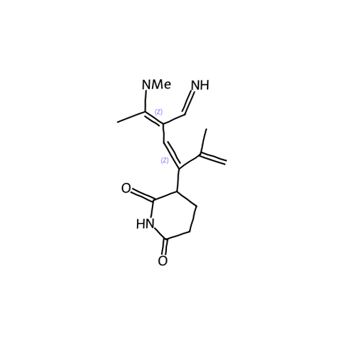 C=C(C)/C(=C\C(C=N)=C(/C)NC)C1CCC(=O)NC1=O